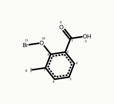 O=C(O)c1cccc(I)c1OBr